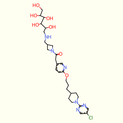 O=C(Cc1ccc(OCCCC2CCN(c3ncc(Cl)cn3)CC2)nc1)N1CC(CNCC(O)C(O)C(O)C(O)CO)C1